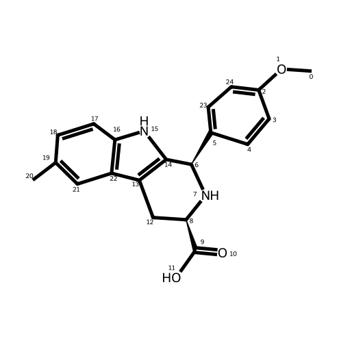 COc1ccc([C@H]2N[C@@H](C(=O)O)Cc3c2[nH]c2ccc(C)cc32)cc1